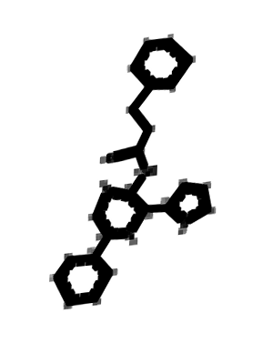 O=C(CCc1ccccc1)Nc1ncc(-c2ccccc2)nc1-c1cccs1